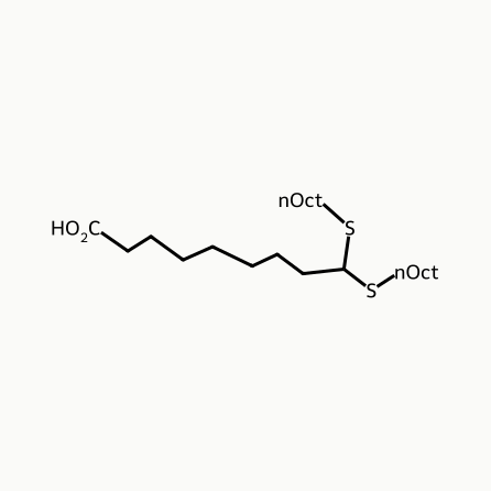 CCCCCCCCSC(CCCCCCCC(=O)O)SCCCCCCCC